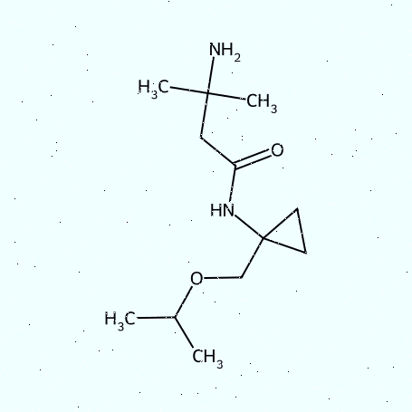 CC(C)OCC1(NC(=O)CC(C)(C)N)CC1